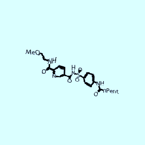 CCCCCC(=O)Nc1ccc(S(=O)(=O)NC(=O)c2ccc(C(=O)NCCOC)nc2)cc1